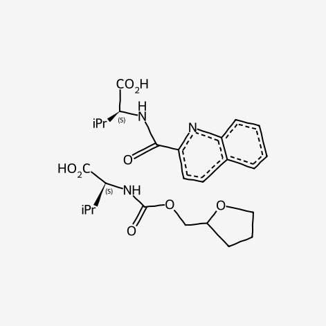 CC(C)[C@H](NC(=O)OCC1CCCO1)C(=O)O.CC(C)[C@H](NC(=O)c1ccc2ccccc2n1)C(=O)O